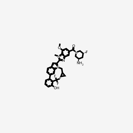 COc1cc(C(=O)N2C[C@H](N)C[C@@H](F)C2)cc2nc(-c3cc4ccc(-c5cccc(O)c5C(F)(F)F)cc4n3CC3CC3)n(C)c12